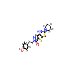 COc1ccc(CCNC(=O)c2cc3c(s2)SC(N2CCCCC2)N3)cc1